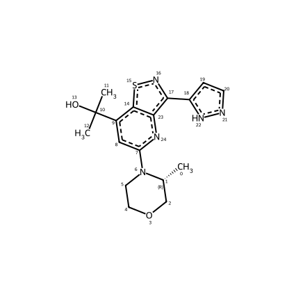 C[C@@H]1COCCN1c1cc(C(C)(C)O)c2snc(-c3ccn[nH]3)c2n1